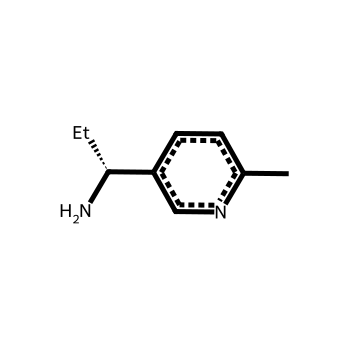 CC[C@@H](N)c1ccc(C)nc1